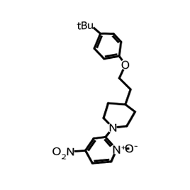 CC(C)(C)c1ccc(OCCC2CCN(c3cc([N+](=O)[O-])cc[n+]3[O-])CC2)cc1